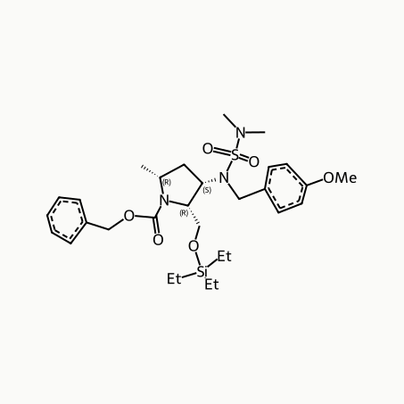 CC[Si](CC)(CC)OC[C@H]1[C@@H](N(Cc2ccc(OC)cc2)S(=O)(=O)N(C)C)C[C@@H](C)N1C(=O)OCc1ccccc1